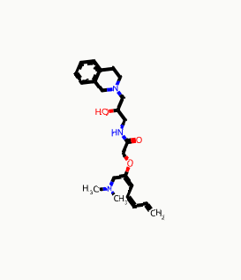 C=C/C=C\C=C(/CN(C)C)OCC(=O)NCC(O)CN1CCc2ccccc2C1